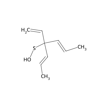 C=CC(C=CC)(C=CC)SO